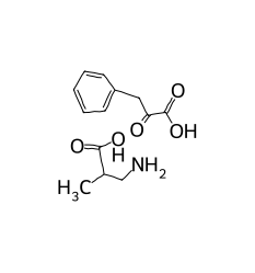 CC(CN)C(=O)O.O=C(O)C(=O)Cc1ccccc1